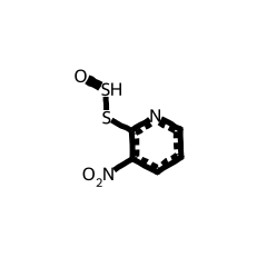 O=[SH]Sc1ncccc1[N+](=O)[O-]